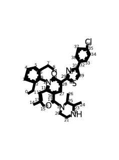 CCc1cccc(CC)c1-n1c(C=C(C)C)c(C(=O)N2CCNC(C)C2C)cc(-c2nc(-c3ccc(Cl)cc3)cs2)c1=O